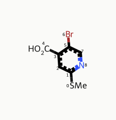 CSc1cc(C(=O)O)c(Br)cn1